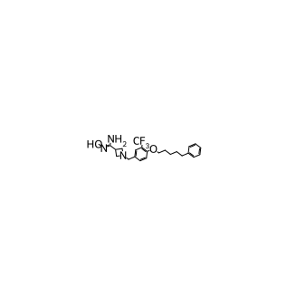 N/C(=N\O)C1CN(Cc2ccc(OCCCCCc3ccccc3)c(C(F)(F)F)c2)C1